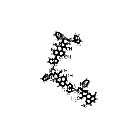 C#Cc1c(-c2cc(O)cc3c(C4CCC5(COc6nc(N7CC8CCC(C7)N8)c7ncc(-c8cc(O)cc9ccc(F)c(C#C)c89)c(C=C)c7n6)CCCN45)cc(F)c(C#C)c23)cnc2c(N3CC4CCC(C3)N4)nc(OCC34CCCN3C(c3cc(F)c(C#C)c5c(-c6cnc7c(N8CC9CCC(C8)N9)nc(OCC89CCCN8CCC9)nc7c6C#N)cc(O)cc35)CC4)nc12